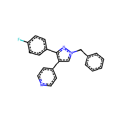 Fc1ccc(-c2nn(Cc3ccccc3)cc2-c2ccncc2)cc1